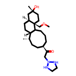 COC[C@]12CC[C@@](C)(O)C[C@@H]1CC[C@@H]1C2CCC[C@@H](C(=O)CN2NCCN2)CC[C@@H]1C